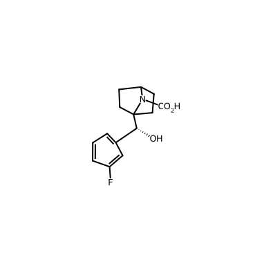 O=C(O)N1C2CCC1([C@H](O)c1cccc(F)c1)CC2